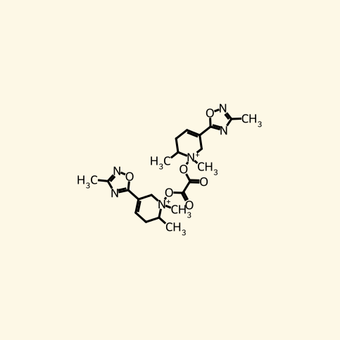 Cc1noc(C2=CCC(C)[N+](C)(OC(=O)C(=O)O[N+]3(C)CC(c4nc(C)no4)=CCC3C)C2)n1